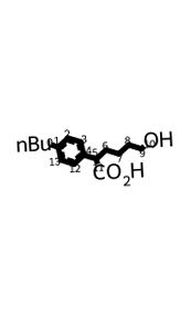 CCCCc1ccc(C(CCCCO)C(=O)O)cc1